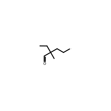 [CH2]CCC(C)(C=O)CC